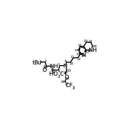 CC(C)(C)CC(=O)NC(CCN(CCCCc1ccc2c(n1)NCCC2)CCOCC(F)(F)F)C(=O)O